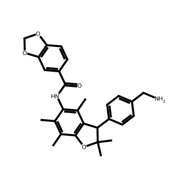 Cc1c(C)c2c(c(C)c1NC(=O)c1ccc3c(c1)OCO3)C(c1ccc(CN)cc1)C(C)(C)O2